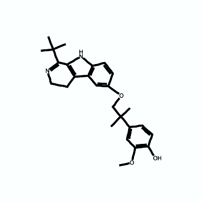 COc1cc(C(C)(C)COc2ccc3[nH]c4c(c3c2)CCN=C4C(C)(C)C)ccc1O